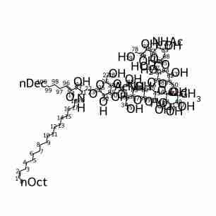 CCCCCCCC/C=C\CCCCCCCCCCCCCCCC(=O)N[C@@H](CO[C@@H]1OC(CO)[C@@H](O[C@@H]2OC(CO)[C@H](O[C@@H]3OC(CO)[C@H](O[C@H]4OC(C)[C@@H](O)C(O)[C@@H]4O)[C@H](O[C@@H]4OC(CO)[C@H](O)[C@H](O[C@]5(C(=O)O)CC(O)[C@@H](NC(C)=O)C([C@H](O)[C@H](O)CO)O5)C4O)C3NC(C)=O)[C@H](O)C2O)[C@H](O)C1O)[C@H](O)/C=C/CCCCCCCCCCCCC